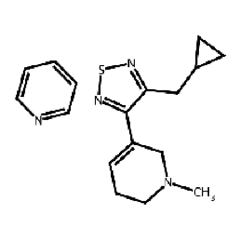 CN1CCC=C(c2nsnc2CC2CC2)C1.c1ccncc1